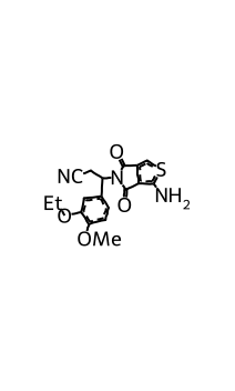 CCOc1cc(C(CC#N)N2C(=O)c3csc(N)c3C2=O)ccc1OC